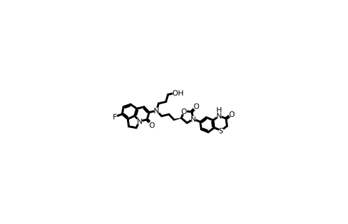 O=C1CSc2ccc(N3C[C@@H](CCCN(CCCO)c4cc5ccc(F)c6c5n(c4=O)CC6)OC3=O)cc2N1